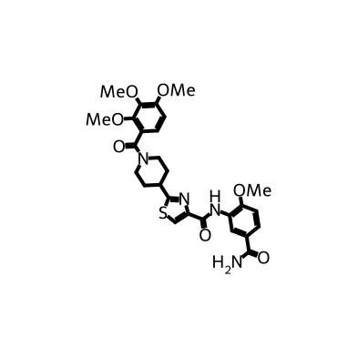 COc1ccc(C(N)=O)cc1NC(=O)c1csc(C2CCN(C(=O)c3ccc(OC)c(OC)c3OC)CC2)n1